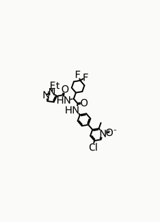 CCn1nccc1C(=O)N[C@H](C(=O)Nc1ccc(-c2cc(Cl)c[n+]([O-])c2C)cc1)C1CCC(F)(F)CC1